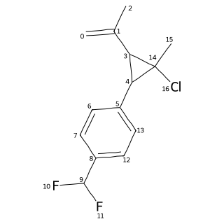 C=C(C)C1C(c2ccc(C(F)F)cc2)C1(C)Cl